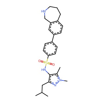 Cc1c(NS(=O)(=O)c2ccc(-c3ccc4c(c3)CNCCC4)cc2)c(CC(C)C)nn1C